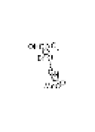 COC(=O)c1ccc(OCCCCOc2cc([N+](=O)[O-])c(C=O)cc2Br)nc1